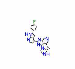 Fc1ccc(-c2cc3c(-c4nc(N5CCNCC5)c5c(C6CC6)cncc5n4)ccnc3[nH]2)cc1